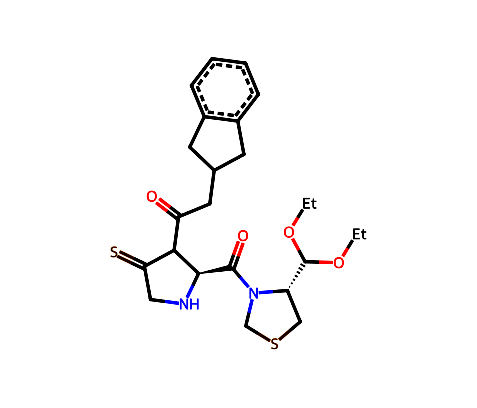 CCOC(OCC)[C@@H]1CSCN1C(=O)[C@H]1NCC(=S)C1C(=O)CC1Cc2ccccc2C1